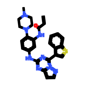 C=CC(=O)Nc1cc(Nc2nc(-c3csc4ccccc34)n3nccc3n2)ccc1N1CCN(C)CC1